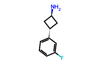 N[C@H]1C[C@H](c2cccc(F)c2)C1